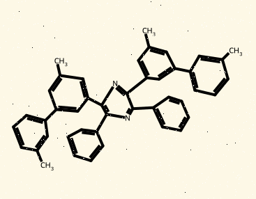 Cc1cccc(-c2cc(C)cc(-c3nc(-c4cc(C)cc(-c5cccc(C)c5)c4)c(-c4ccccc4)nc3-c3ccccc3)c2)c1